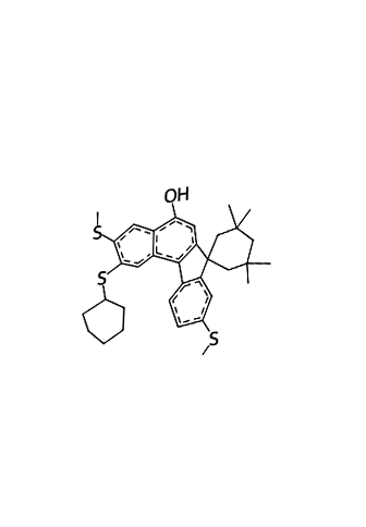 CSc1ccc2c(c1)C1(CC(C)(C)CC(C)(C)C1)c1cc(O)c3cc(SC)c(SC4CCCCC4)cc3c1-2